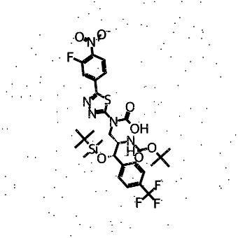 CC(C)(C)OC(=O)N[C@H](CN(C(=O)O)c1nnc(-c2ccc([N+](=O)[O-])c(F)c2)s1)[C@@H](O[Si](C)(C)C(C)(C)C)c1ccc(C(F)(F)F)cc1